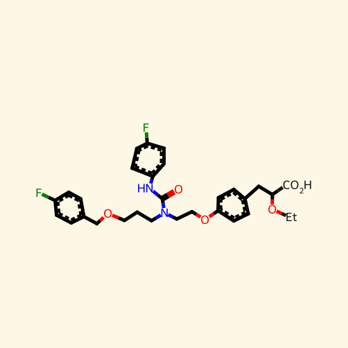 CCOC(Cc1ccc(OCCN(CCCOCc2ccc(F)cc2)C(=O)Nc2ccc(F)cc2)cc1)C(=O)O